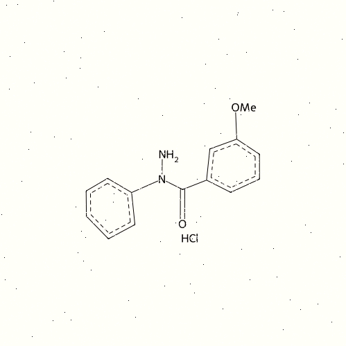 COc1cccc(C(=O)N(N)c2ccccc2)c1.Cl